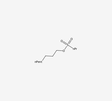 CCCCCCCCOS(=O)(=O)CCC